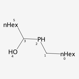 CCCCCCCPC(O)CCCCCC